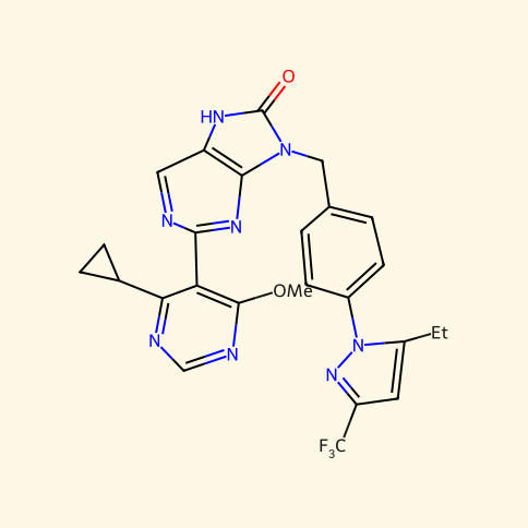 CCc1cc(C(F)(F)F)nn1-c1ccc(Cn2c(=O)[nH]c3cnc(-c4c(OC)ncnc4C4CC4)nc32)cc1